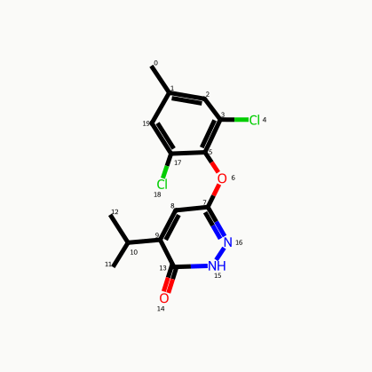 Cc1cc(Cl)c(Oc2cc(C(C)C)c(=O)[nH]n2)c(Cl)c1